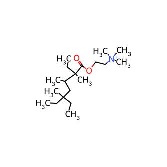 CCC(C)(CC)CC(C)C(C)(CC)C(=O)OCC[N+](C)(C)C